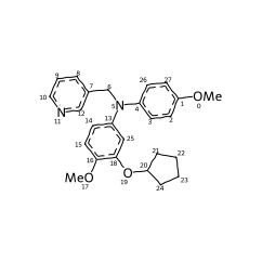 COc1ccc(N(Cc2cccnc2)c2ccc(OC)c(OC3CCCC3)c2)cc1